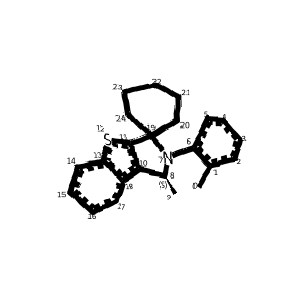 Cc1ccccc1N1[C@@H](C)c2c(sc3ccccc23)C12CCCCC2